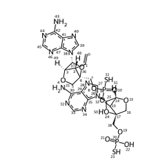 C=C[C@H]1[C@H]2OC[C@]1(COP(=O)(S)O[C@H]1[C@H]3OC[C@]1(COP(=O)(O)S)O[C@H]3n1cnc3c(N)ncnc31)O[C@H]2n1cnc2c(N)ncnc21